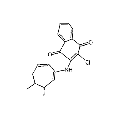 CC1C=C(NC2=C(Cl)C(=O)c3ccccc3C2=O)C=CCC1C